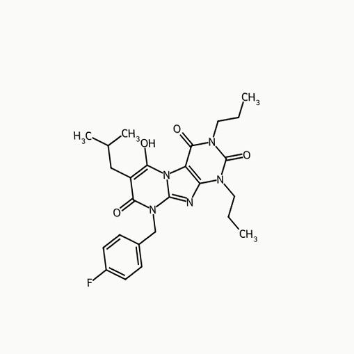 CCCn1c(=O)c2c(nc3n(Cc4ccc(F)cc4)c(=O)c(CC(C)C)c(O)n23)n(CCC)c1=O